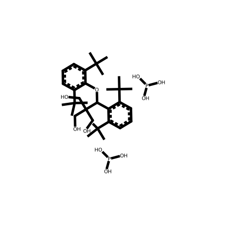 CC(C)(C)c1cccc(C(C)(C)C)c1OC(c1c(C(C)(C)C)cccc1C(C)(C)C)C(CO)(CO)CO.OP(O)O.OP(O)O